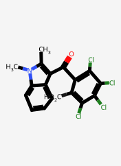 Cc1c(C(=O)c2c(Cl)c(Cl)c(Cl)c(Cl)c2C(=O)O)c2ccccc2n1C